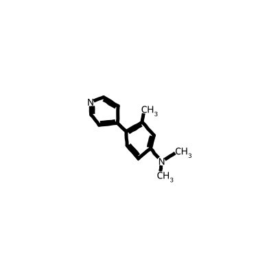 Cc1cc(N(C)C)ccc1-c1ccncc1